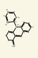 O=C1CCC=C2C1=Cc1ccccc1N2c1ncncn1